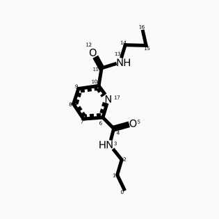 CCCNC(=O)c1cccc(C(=O)NCCC)n1